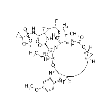 CC[C@@H]1[C@@H]2CN(C(=O)[C@H](C(C)(C)C)NC(=O)O[C@@H]3C[C@H]3CCCCC(F)(F)c3nc4ccc(OC)cc4nc3O2)[C@@H]1C(=O)NC1(C(=O)NS(=O)(=O)C2(C)CC2)CC1C(F)F